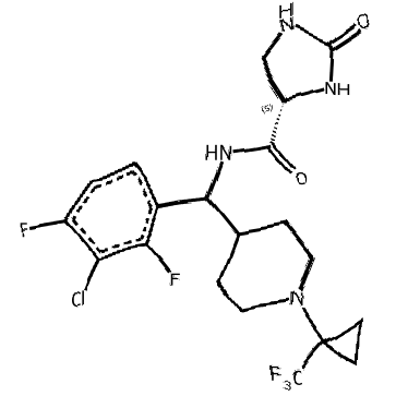 O=C1NC[C@@H](C(=O)NC(c2ccc(F)c(Cl)c2F)C2CCN(C3(C(F)(F)F)CC3)CC2)N1